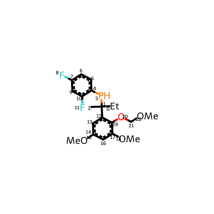 CCC(C)(Pc1ccc(F)cc1F)c1cc(OC)cc(OC)c1OCOC